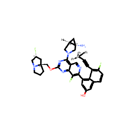 CC(C)[Si](C#Cc1c(F)ccc2cc(O)cc(-c3ncc4c(N5C[C@H]6C[C@@]6(N)C5)nc(OC[C@@]56CCCN5C[C@H](F)C6)nc4c3F)c12)(C(C)C)C(C)C